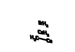 [CH3][Ce].[CaH2].[SrH2]